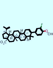 C=C(C)[C@@H]1CC[C@]2(C(=O)O)CC[C@]3(C)[C@H](CC[C@@H]4[C@@]5(C)CC=C(c6ccc(OC=O)c(F)c6)C(C)(C)[C@@H]5CC[C@]43C)[C@@H]12